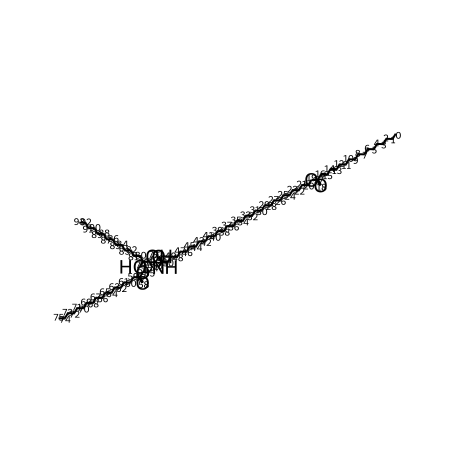 CCCCCCCCCCCCCC=CC=CC(=O)OCCCCCCCCCCCCCCCCCCCCCCCCCCCCCCCC(=O)N[C@@H](COC(=O)CCCCCCCCCCCCCCCCC)[C@H](O)C(O)CCCCCCCCCCCCCC